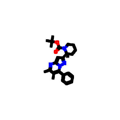 Cc1nc2cc([C@@H]3CCCCN3C(=O)OC(C)(C)C)nn2c(-c2ccccc2)c1C